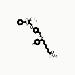 COC(=O)CCCCCC/C(=N/OCc1ccc(OCc2nc(-c3ccccc3)oc2C)cc1)c1ccc(F)cc1